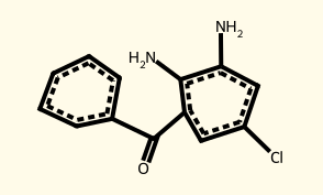 Nc1cc(Cl)cc(C(=O)c2ccccc2)c1N